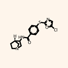 O=C(NC1CN2CC[C@H]1C2)c1ccc(Sc2ncc(Cl)o2)cc1